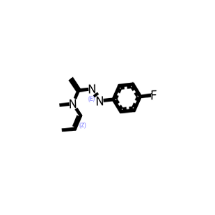 C=C(/N=N/c1ccc(F)cc1)N(C)/C=C\C